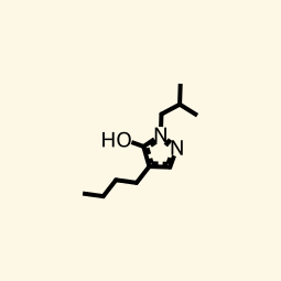 CCCCc1cnn(CC(C)C)c1O